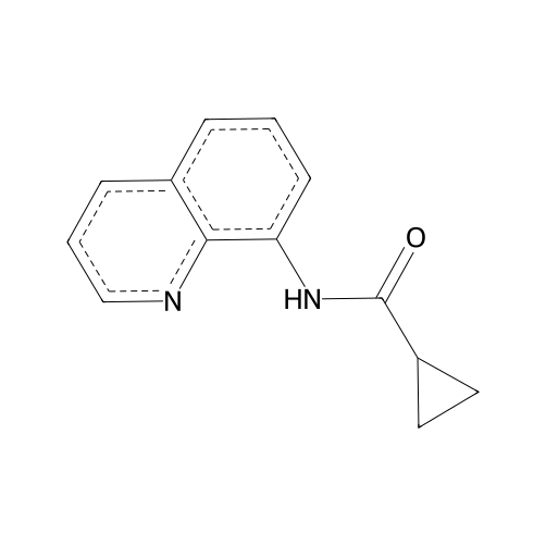 O=C(Nc1cccc2cccnc12)C1CC1